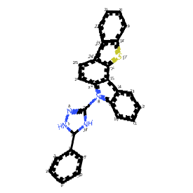 c1ccc(C2NN=C(n3c4ccccc4c4c5sc6ccccc6c5ccc43)N2)cc1